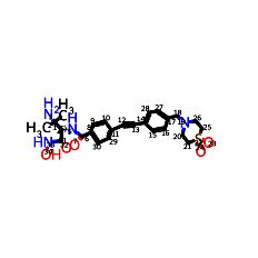 CC(C)(N)[C@H](NC(=O)c1ccc(C#Cc2ccc(CN3CCS(=O)(=O)CC3)cc2)cc1)C(=O)NO